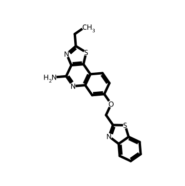 CCc1nc2c(N)nc3cc(OCc4nc5ccccc5s4)ccc3c2s1